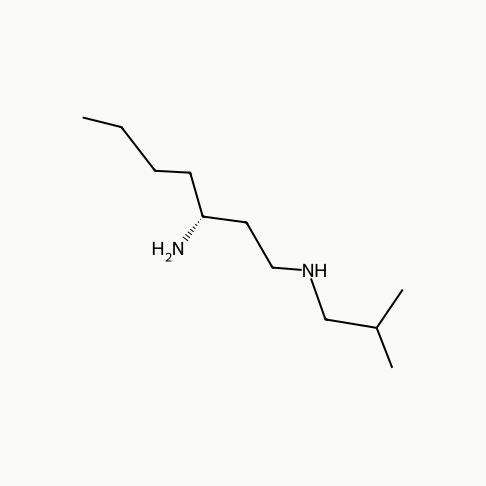 CCCC[C@@H](N)CCNCC(C)C